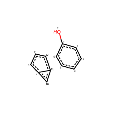 Oc1ccccc1.c1cc2cc-2c1